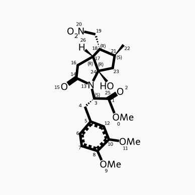 COC(=O)[C@H](Cc1ccc(OC)c(OC)c1)N1C(=O)C[C@@H]2[C@H](C[N+](=O)[O-])[C@@H](C)C[C@@]21O